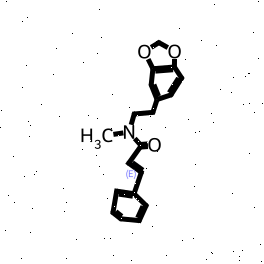 CN(CCc1ccc2c(c1)OCO2)C(=O)/C=C/c1ccccc1